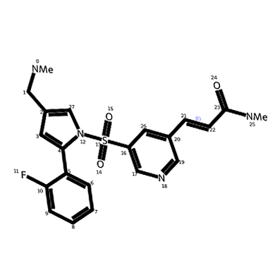 CNCc1cc(-c2ccccc2F)n(S(=O)(=O)c2cncc(/C=C/C(=O)NC)c2)c1